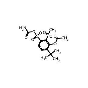 CC(=O)Oc1c(C(C)(C)C)ccc(S(=O)(=O)OC(N)=O)c1S(C)(=O)=O